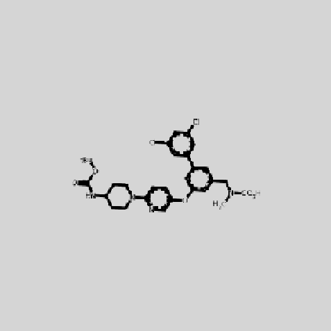 CN(Cc1cc(Oc2ccc(N3CCC(NC(=O)OC(C)(C)C)CC3)nc2)cc(-c2cc(Cl)cc(Cl)c2)c1)C(=O)O